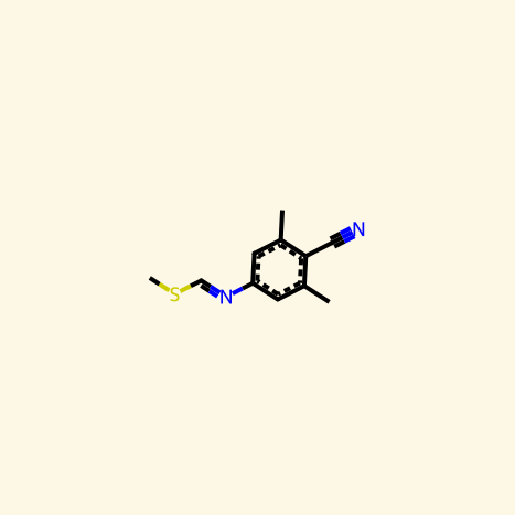 CS/C=N/c1cc(C)c(C#N)c(C)c1